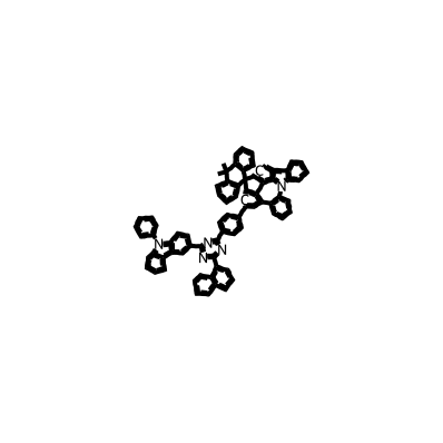 CC1(C)c2ccccc2C2(c3ccccc31)c1cc(-c3ccc(-c4nc(-c5ccc6c(c5)c5ccccc5n6-c5ccccc5)nc(-c5cccc6ccccc56)n4)cc3)cc3c1-c1c2ccc2c4ccccc4n(c12)-c1ccccc1-3